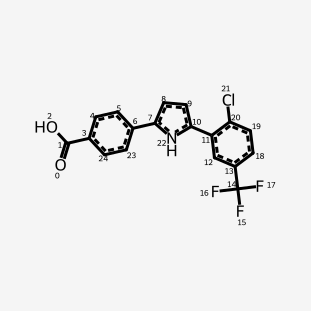 O=C(O)c1ccc(-c2ccc(-c3cc(C(F)(F)F)ccc3Cl)[nH]2)cc1